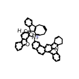 CC1(C)C2=C(CC#CC/C=C\2N(c2ccc3ccc4c(cc5c6c(n7c8ccccc8c4c57)CCC=C6)c3c2)c2cccc3c2oc2ccccc23)c2ccccc21